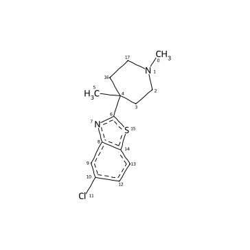 CN1CCC(C)(c2nc3cc(Cl)ccc3s2)CC1